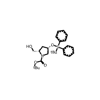 CC(C)(C)OC(=O)N1C[C@@H](O[Si](c2ccccc2)(c2ccccc2)C(C)(C)C)C[C@H]1CO